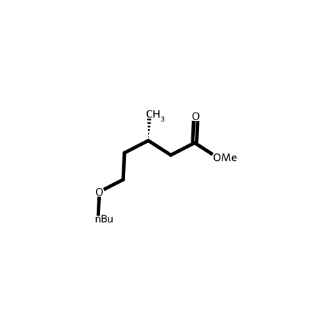 CCCCOCC[C@H](C)CC(=O)OC